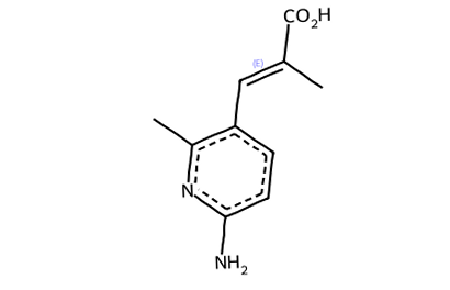 C/C(=C\c1ccc(N)nc1C)C(=O)O